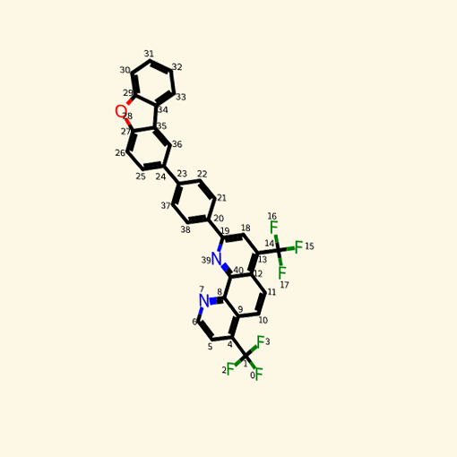 FC(F)(F)c1ccnc2c1ccc1c(C(F)(F)F)cc(-c3ccc(-c4ccc5oc6ccccc6c5c4)cc3)nc12